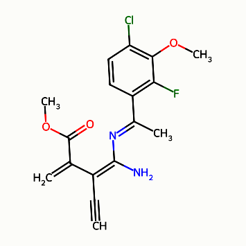 C#C/C(C(=C)C(=O)OC)=C(N)/N=C(\C)c1ccc(Cl)c(OC)c1F